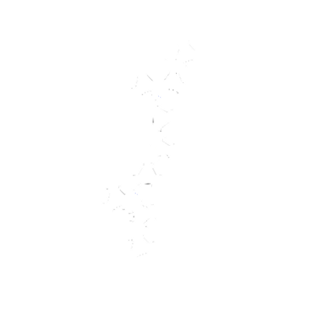 c1ccc2c(c1)sc1c2ccc2c1c1ccccc1n2-c1ccc(-c2ccc(-c3ccc(-n4c5ccccc5c5c6sc7ccccc7c6ccc54)cc3)s2)cc1